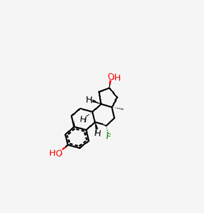 C[C@@]12C[C@H](O)C[C@H]1[C@@H]1CCc3cc(O)ccc3[C@H]1[C@@H](F)C2